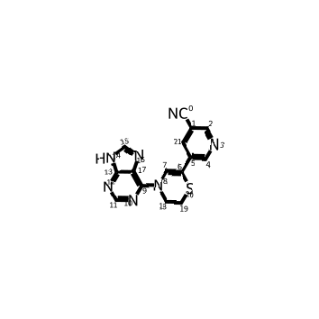 N#Cc1cncc(C2=CN(c3ncnc4[nH]cnc34)CCS2)c1